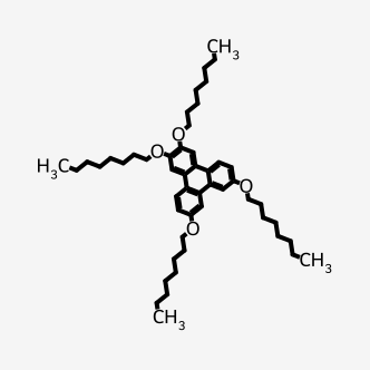 CCCCCCCCOc1ccc2c(c1)c1cc(OCCCCCCCC)ccc1c1cc(OCCCCCCCC)c(OCCCCCCCC)cc21